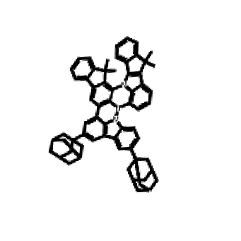 CC1(C)c2ccccc2-c2cc3c4c(c21)-n1c2c(c5cccc(c51)B4n1c4ccc(C56CC7CC(CC(C7)C5)C6)cc4c4cc(C56CC7CC(CC(C7)C5)C6)cc-3c41)C(C)(C)c1ccccc1-2